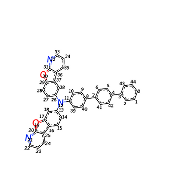 c1ccc(-c2ccc(-c3ccc(N(c4ccc5c(c4)oc4ncccc45)c4ccc5oc6ncccc6c5c4)cc3)cc2)cc1